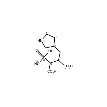 O=C(O)C(CC1CCNC1)C(C(=O)O)P(=O)(O)O